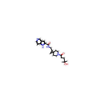 CC(C)(O)CCC(=O)N1CCC2(CC1)CC2CNC(=O)c1cc2cnccc2[nH]1